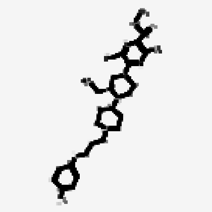 CC[C@H]1CN(c2nc(N)c(C(=O)NC)nc2Cl)CCN1C1CCN(CCCOc2ccc(C)cc2)CC1